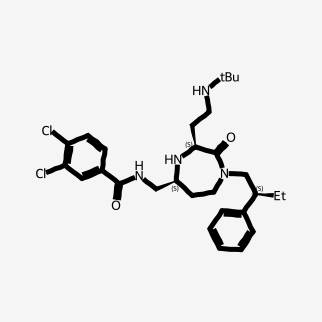 CC[C@H](CN1CC[C@@H](CNC(=O)c2ccc(Cl)c(Cl)c2)N[C@@H](CCNC(C)(C)C)C1=O)c1ccccc1